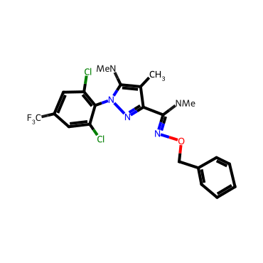 CN/C(=N\OCc1ccccc1)c1nn(-c2c(Cl)cc(C(F)(F)F)cc2Cl)c(NC)c1C